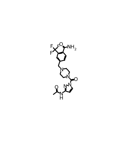 CC(=O)Nc1ccn(C(=O)N2CCN(Cc3ccc(C(N)=O)c(C(F)(F)F)c3)CC2)n1